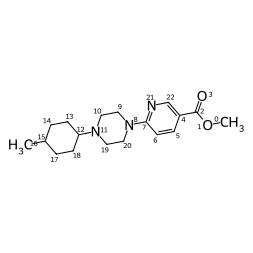 COC(=O)c1ccc(N2CCN(C3CCC(C)CC3)CC2)nc1